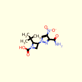 CC(C)(C)C1C(n2cc([N+](=O)[O-])c(C(N)=O)n2)CN1C(=O)O